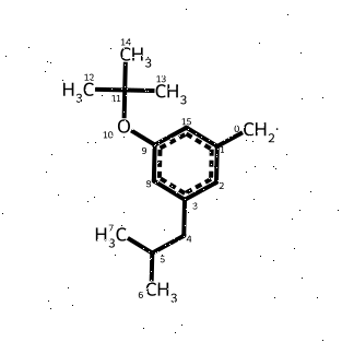 [CH2]c1cc(CC(C)C)cc(OC(C)(C)C)c1